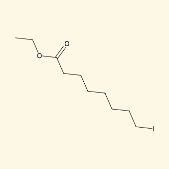 CCOC(=O)CCCCCCCI